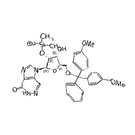 COc1ccc(C(OC[C@H]2O[C@@H](n3cnc4c(=O)[nH]ncc43)[C@H](O[Si](C)(C)C(C)(C)C)[C@@H]2O)(c2ccccc2)c2ccc(OC)cc2)cc1